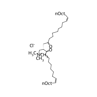 CCCCCCCC/C=C\CCCCCCCC(=O)C[C@@H](C[N+](C)(C)C)C(=O)CCCCCCC/C=C\CCCCCCCC.[Cl-]